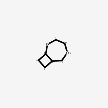 C1COC2CCC2CO1